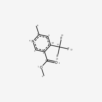 COC(=O)c1cnc(C)cc1C(F)(F)F